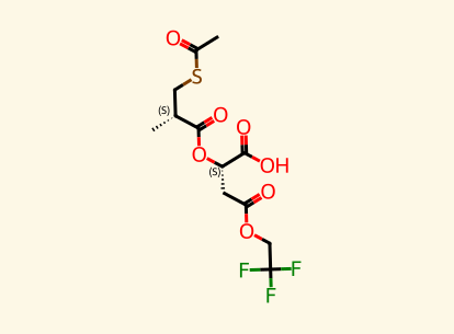 CC(=O)SC[C@@H](C)C(=O)O[C@@H](CC(=O)OCC(F)(F)F)C(=O)O